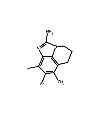 Cc1c(Br)c(I)c2nc(N)n3c2c1CCC3